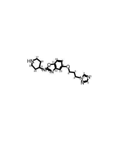 c1ncn(CCCOc2ccc3oc(NC4CCNCC4)nc3c2)n1